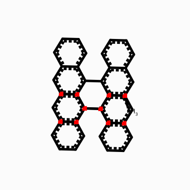 Cc1cc2ccccc2c(-c2c(P(c3ccccc3)c3ccccc3)ccc3ccccc23)c1P(c1ccccc1)c1ccccc1